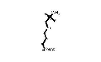 CCCCCCCCSCC(C)(C)N